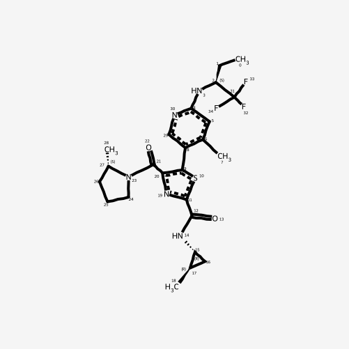 CC[C@H](Nc1cc(C)c(-c2sc(C(=O)N[C@@H]3C[C@H]3C)nc2C(=O)N2CCC[C@@H]2C)cn1)C(F)(F)F